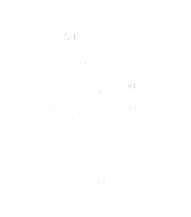 NCC(=O)CCC(=O)OCc1ccc(Cl)cc1.O=C(O)C(Cl)(Cl)Cl